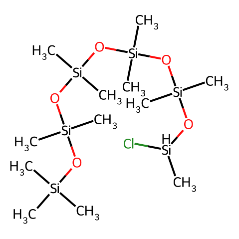 C[SiH](Cl)O[Si](C)(C)O[Si](C)(C)O[Si](C)(C)O[Si](C)(C)O[Si](C)(C)C